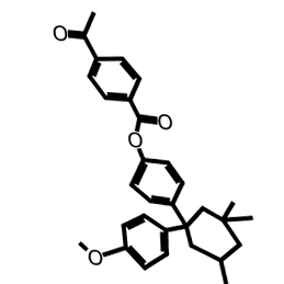 COc1ccc(C2(c3ccc(OC(=O)c4ccc(C(C)=O)cc4)cc3)CC(C)CC(C)(C)C2)cc1